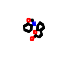 O=c1ccc2ccccc2o1.c1ccc2ocnc2c1